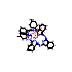 CC1CCC(CO[Si]2(OCC3CCC(C)CC3)N3/C4=N\C5=NC(=N\c6c7ccccc7c(n62)/N=C2\N=C(NC3c3ccccc34)C3=C2C=CCC3)/C2=C5C=CCC2)CC1